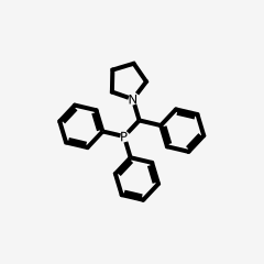 c1ccc(C(N2CCCC2)P(c2ccccc2)c2ccccc2)cc1